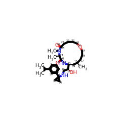 CC(C)c1cccc(C2(NC[C@@H](O)[C@@H]3C[C@H](C)CCCOCCCCC(=O)N(C)[C@@H](C)C(=O)N3)CC2)c1